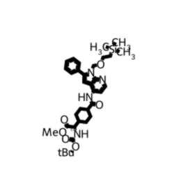 COC(=O)[C@@H](NC(=O)OC(C)(C)C)C1CCC(C(=O)Nc2ccnc3c2cc(-c2ccccc2)n3COCC[Si](C)(C)C)CC1